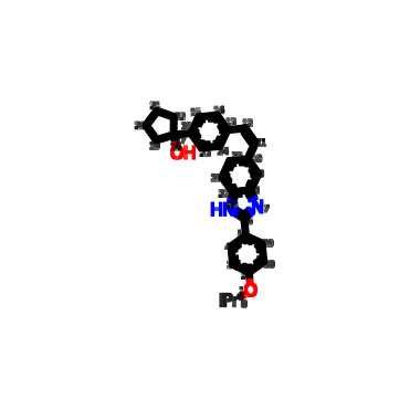 CC(C)Oc1ccc(-c2nc3cc(/C=C\c4ccc(C5(O)CCCC5)cc4)ccc3[nH]2)cc1